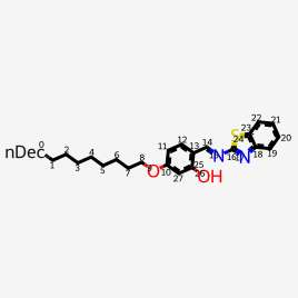 CCCCCCCCCCCCCCCCCCOc1ccc(C=Nc2nc3ccccc3s2)c(O)c1